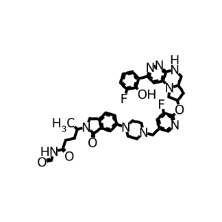 CC(CCC(=O)NC=O)N1Cc2ccc(N3CCN(Cc4cnc(OC5CC6CNc7nnc(-c8cccc(F)c8O)cc7N6C5)c(F)c4)CC3)cc2C1=O